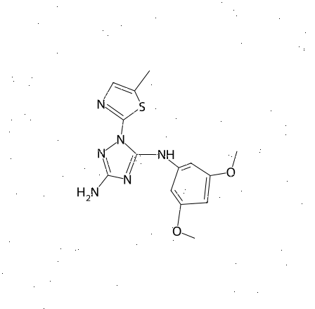 COc1cc(Nc2nc(N)nn2-c2ncc(C)s2)cc(OC)c1